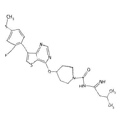 CSc1ccc(-c2csc3c(OC4CCN(C(=O)NC(=N)CC(C)C)CC4)ncnc23)c(F)c1